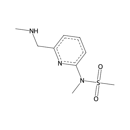 CNCc1cccc(N(C)S(C)(=O)=O)n1